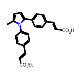 CCOC(=O)C=Cc1ccc(-n2c(C)ccc2-c2ccc(C=CC(=O)O)cc2)cc1